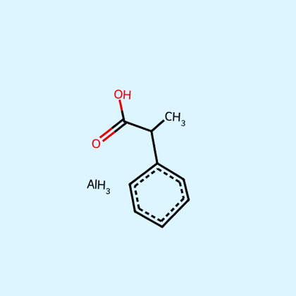 CC(C(=O)O)c1ccccc1.[AlH3]